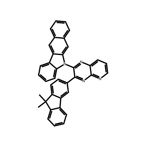 CC1(C)c2ccccc2-c2cc(-c3nc4ncccc4nc3-n3c4ccccc4c4cc5ccccc5cc43)ccc21